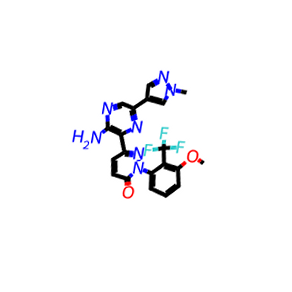 COc1cccc(-n2nc(-c3nc(-c4cnn(C)c4)cnc3N)ccc2=O)c1C(F)(F)F